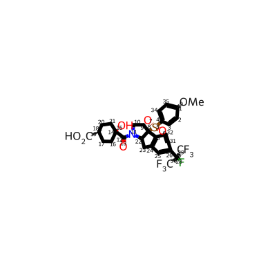 COc1ccc(S(=O)(=O)C23CCN(C(=O)[C@]4(O)CC[C@@H](C(=O)O)CC4)C2Cc2cc(C(F)(C(F)(F)F)C(F)(F)F)ccc23)cc1